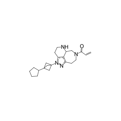 C=CC(=O)N1CCc2nn(C34CC(C5CCCC5)(C3)C4)c3c2C(C1)NCC3